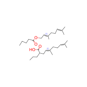 CCCC(C/C=C(\C)CCC=C(C)C)C(=O)O.CCCCC(=O)OC/C=C(\C)CCC=C(C)C